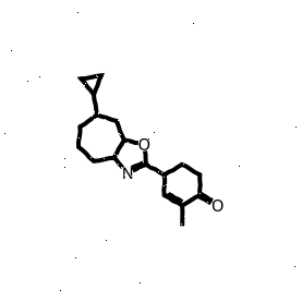 CC1=CC(C2=NC3CCCC(C4CC4)CC3O2)CCC1=O